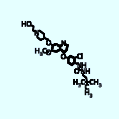 COc1cc2c(Oc3ccc(NC(=O)NCCC(C)(C)C)c(Cl)c3)ccnc2cc1OCC1CCN(CCO)CC1